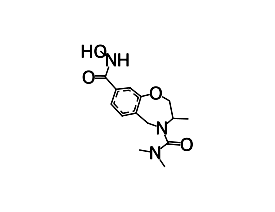 CC1COc2cc(C(=O)NO)ccc2CN1C(=O)N(C)C